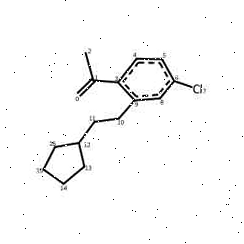 C=C(C)c1ccc(Cl)cc1CCC1CCCC1